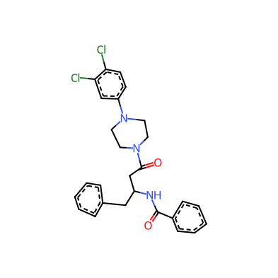 O=C(NC(CC(=O)N1CCN(c2ccc(Cl)c(Cl)c2)CC1)Cc1ccccc1)c1ccccc1